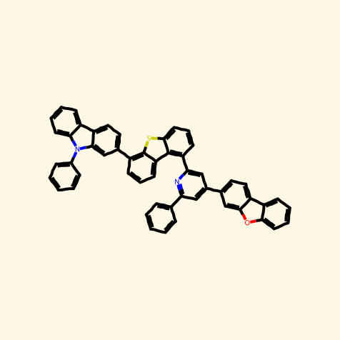 c1ccc(-c2cc(-c3ccc4c(c3)oc3ccccc34)cc(-c3cccc4sc5c(-c6ccc7c8ccccc8n(-c8ccccc8)c7c6)cccc5c34)n2)cc1